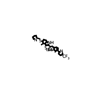 Cc1c(SCc2ccccn2)ccc2[nH]c(C(Cc3ccc(-c4ccc(C(F)(F)F)cn4)cc3)C(=O)O)c(SC(C)(C)C)c12